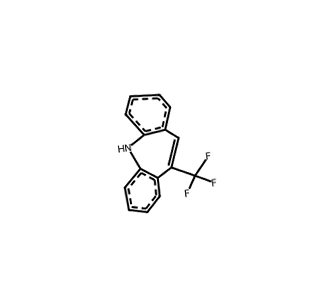 FC(F)(F)C1=Cc2ccccc2Nc2ccccc21